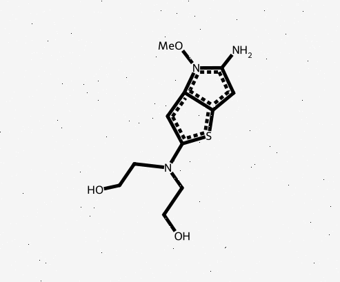 COn1c(N)cc2sc(N(CCO)CCO)cc21